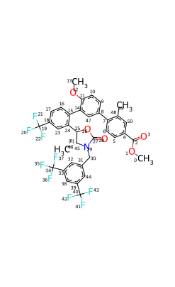 COC(=O)c1ccc(-c2ccc(OC)c(-c3ccc(C(F)(F)F)cc3C3OC(=O)N(Cc4cc(C(F)(F)F)cc(C(F)(F)F)c4)[C@@H]3C)c2)c(C)c1